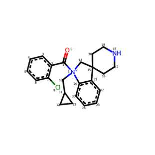 O=C(c1ccccc1Cl)[N+]1(CC2CC2)CC2(CCNCC2)c2ccccc21